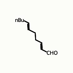 CCCC/C=C/CC/C=C/C=O